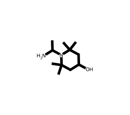 CC(N)N1C(C)(C)CC(O)CC1(C)C